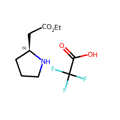 CCOC(=O)C[C@@H]1CCCN1.O=C(O)C(F)(F)F